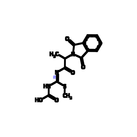 CS/C(=N\C(=O)C(C)N1C(=O)c2ccccc2C1=O)NC(=O)O